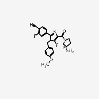 COc1ccc(CC2C(c3ccc(C#N)c(F)c3)=NC(C(=O)N3CC[C@H](N)C3)=C2F)cc1